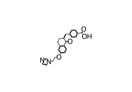 O=C(O)c1ccc(C=C2CCc3cc(OCCn4ccnc4)ccc3C2=O)cc1